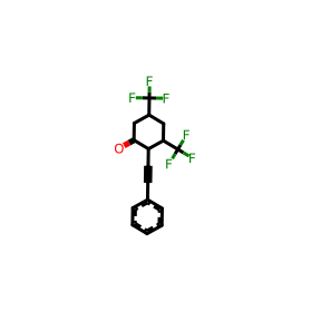 O=C1CC(C(F)(F)F)CC(C(F)(F)F)C1C#Cc1ccccc1